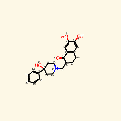 O=C1c2cc(O)c(O)cc2CCC1CN1CCC(O)(c2ccccc2)CC1